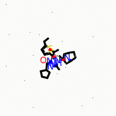 CCc1ccc([C@H](CCN2C3CCC2CC(n2c(C)nnc2C(C)C)C3)NC(=O)C2CCCC2)s1